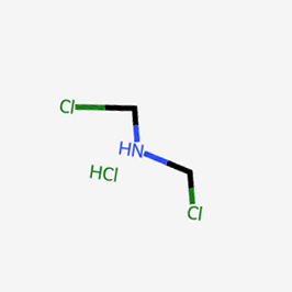 Cl.ClCNCCl